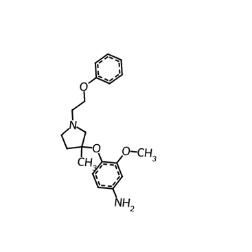 COc1cc(N)ccc1OC1(C)CCN(CCOc2ccccc2)C1